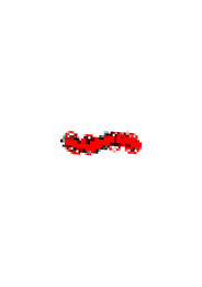 C=CC(=O)OCOc1ccc(C(=O)Oc2ccc(CC(C)c3ccc4cc(OC(=O)c5ccc(OCOC(=O)C=C)cc5)ccc4c3)cc2)cc1